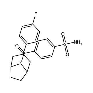 NS(=O)(=O)c1ccc(C(=O)N2C3CCC2CC(c2ccc(F)cc2)C3)cc1